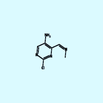 C/N=C\c1nc(Cl)ncc1N